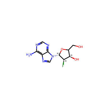 Nc1ncnc2c1ncn2[C@@H]1OC(CO)[C@@H](O)[C@H]1F